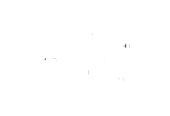 COCC(C)(C)C(O)C(=O)O